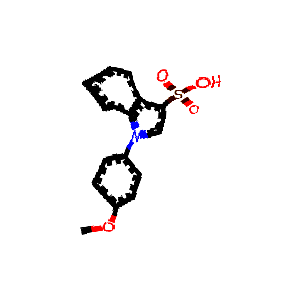 COc1ccc(-n2cc(S(=O)(=O)O)c3ccccc32)cc1